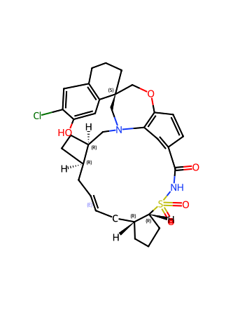 O=C1NS(=O)(=O)[C@@H]2CCC[C@@H]2C/C=C/C[C@H]2CC[C@H]2CN2C[C@@]3(CCCc4cc(Cl)c(O)cc43)COc3ccc1cc32